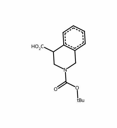 CC(C)(C)OC(=O)N1Cc2ccccc2C(C(=O)O)C1